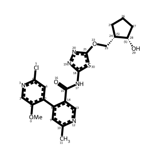 COc1cnc(Cl)cc1-c1cc(C)ncc1C(=O)Nc1nnc(OC[C@@H]2CCC[C@@H]2O)s1